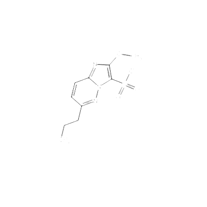 CCCc1ccc2nc(OC)c(S(=O)(=O)Cl)n2n1